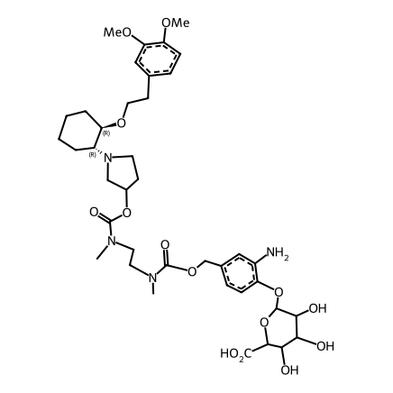 COc1ccc(CCO[C@@H]2CCCC[C@H]2N2CCC(OC(=O)N(C)CCN(C)C(=O)OCc3ccc(OC4OC(C(=O)O)C(O)C(O)C4O)c(N)c3)C2)cc1OC